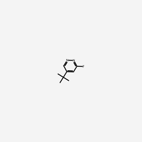 CC(C)(C)c1cnnc(F)c1